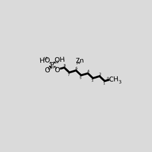 CCCCCCCCCOP(=O)(O)O.[Zn]